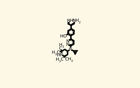 CC1(C)CC(N(c2ccc(-c3ccc(/C(C=N)=C/N)cc3O)nn2)C2CC2)CC(C)(C)N1